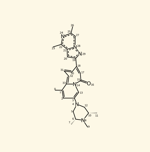 CC1=CC(N2C[C@@H](C)N(C)[C@@H](C)C2)=CN2C(=O)\C=C(c3cc4c(C)nc(C)cn4n3)/C=C/C=C\12